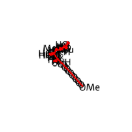 CC[C@H](C)[C@@H](C(CC(=O)N1CCC[C@H]1[C@H](C)[C@@H](C)C(=O)N[C@H](C)[C@@H](O)c1ccccc1)OC)N(C)C(=O)[C@@H](NC(=O)[C@H](C(C)C)N(C)C(=O)OCc1ccc(O[C@@H]2O[C@H](C(=O)O)[C@@H](O)[C@H](O)[C@H]2O)c(NC(=O)CCNC(=O)[C@H](CCCCNC(=O)CCOCCOCCOCCOCCOCCOCCOCCOCCOCCOCCOCCOC)NC(=O)[C@H](C)N2C(=O)C=CC2=O)c1)C(C)C